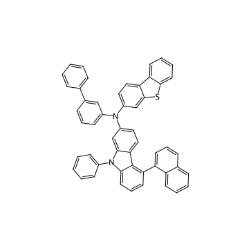 c1ccc(-c2cccc(N(c3ccc4c(c3)sc3ccccc34)c3ccc4c5c(-c6cccc7ccccc67)cccc5n(-c5ccccc5)c4c3)c2)cc1